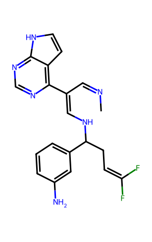 C/N=C\C(=C/NC(CC=C(F)F)c1cccc(N)c1)c1ncnc2[nH]ccc12